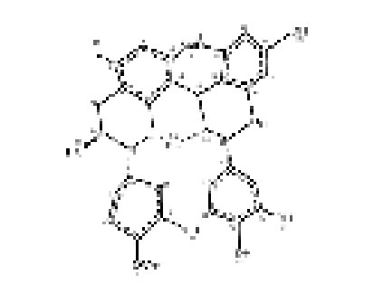 COc1ccc([C@H]2Oc3c(c(O)cc(O)c3C3c4c(OC)cc(O)cc4O[C@H](c4ccc(O)c(O)c4)[C@@H]3O)C[C@@H]2O)cc1O